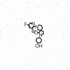 O=C1N([C@H]2CC[C@@H](O)CC2)CCC12CCCN(c1ncc(F)cc1Br)C2